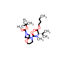 CCCCOC(=O)[C@H](C(C)C)N(C)C(=O)N1CCCOC12CN(C(=O)OC(C)(C)C)C2